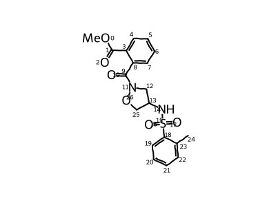 COC(=O)c1ccccc1C(=O)N1CC(NS(=O)(=O)c2ccccc2C)CO1